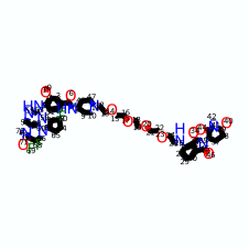 COc1cc(C(=O)NC2CCN(CCOCCOCCOCCOCCNc3cccc4c3C(=O)N(C3CCC(=O)N(C)C3=O)C4=O)CC2)c(F)cc1Nc1ncc2c(n1)N(C1CCCC1)CC(F)(F)C(=O)N2C